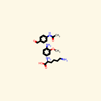 CC(=O)Nc1ccc(C=O)cc1.COc1ccccc1N.NCCCC[C@H](N)C(=O)O